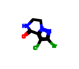 O=C1NCCn2nc(Br)c(Cl)c21